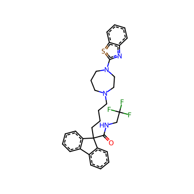 O=C(NCC(F)(F)F)C1(CCCCN2CCCN(c3nc4ccccc4s3)CC2)c2ccccc2-c2ccccc21